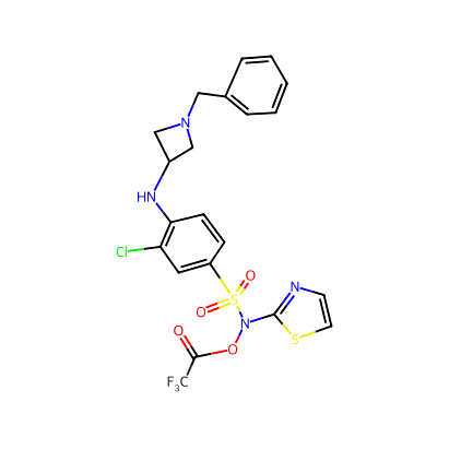 O=C(ON(c1nccs1)S(=O)(=O)c1ccc(NC2CN(Cc3ccccc3)C2)c(Cl)c1)C(F)(F)F